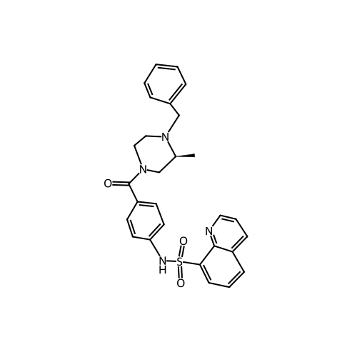 C[C@H]1CN(C(=O)c2ccc(NS(=O)(=O)c3cccc4cccnc34)cc2)CCN1Cc1ccccc1